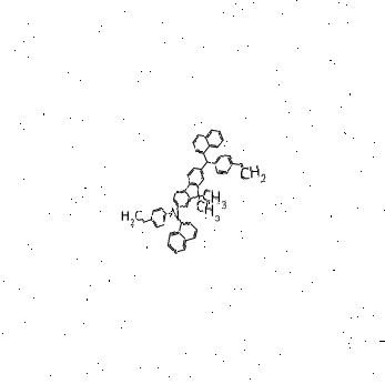 C=Cc1ccc(C(c2ccc3c(c2)C(C)(C)c2cc(N(c4ccc(C=C)cc4)c4cccc5ccccc45)ccc2-3)c2cccc3ccccc23)cc1